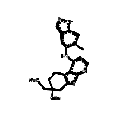 COC[C@]1(OC)CCc2c(sc3ncnc(Nc4cc5cn[nH]c5cc4C)c23)C1